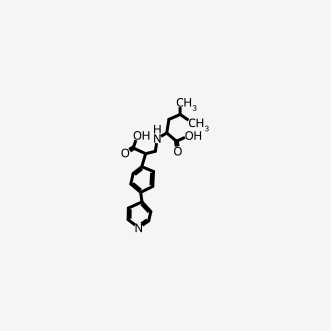 CC(C)CC(NCC(C(=O)O)c1ccc(-c2ccncc2)cc1)C(=O)O